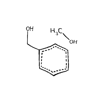 CO.OCc1ccccc1